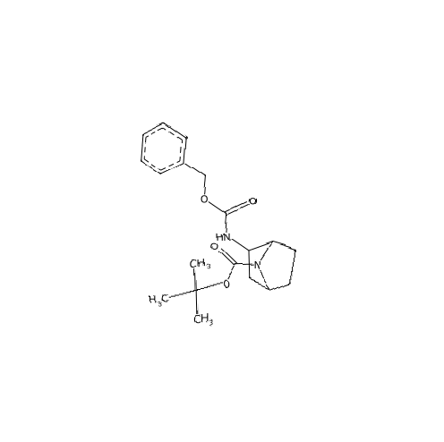 CC(C)(C)OC(=O)N1C2CCC1C(NC(=O)OCc1ccccc1)C2